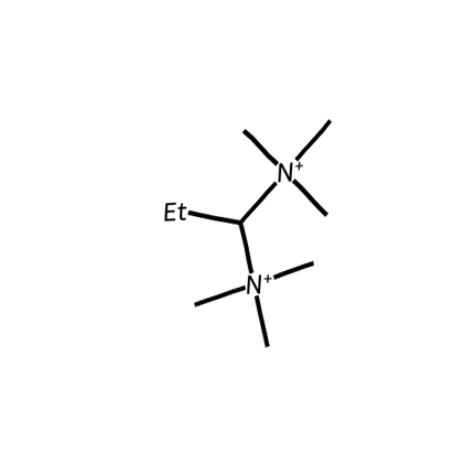 CCC([N+](C)(C)C)[N+](C)(C)C